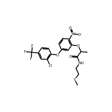 CSCCNC(=O)C(C)Oc1cc(Oc2ccc(C(F)(F)F)cc2Cl)ccc1[N+](=O)[O-]